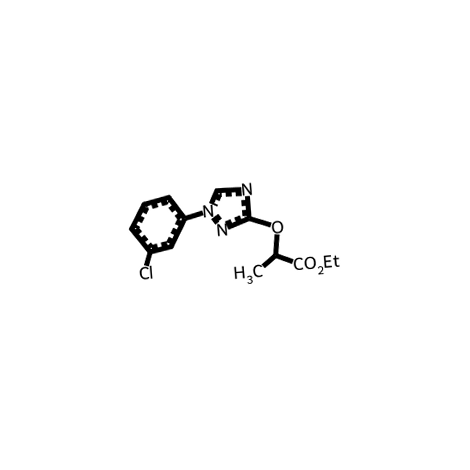 CCOC(=O)C(C)Oc1ncn(-c2cccc(Cl)c2)n1